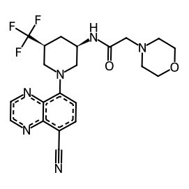 N#Cc1ccc(N2C[C@H](NC(=O)CN3CCOCC3)C[C@H](C(F)(F)F)C2)c2nccnc12